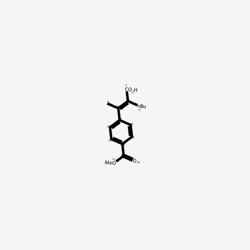 CCCC/C(C(=O)O)=C(/C)c1ccc(C(=O)OC)cc1